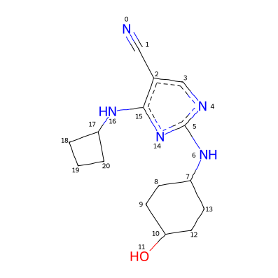 N#Cc1cnc(NC2CCC(O)CC2)nc1NC1CCC1